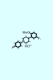 COc1ccc(F)cc1C1CCN(c2ccc(F)cc2)CC1.Cl